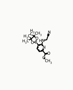 COC(=O)c1ccc(B2OC(C)(C)C(C)(C)O2)c(NCC#N)n1